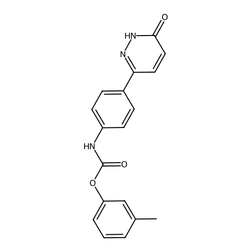 Cc1cccc(OC(=O)Nc2ccc(-c3ccc(=O)[nH]n3)cc2)c1